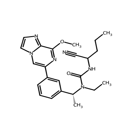 CCCC(C#N)NC(=O)N(CC)[C@H](C)c1cccc(-c2cn3ccnc3c(OC)n2)c1